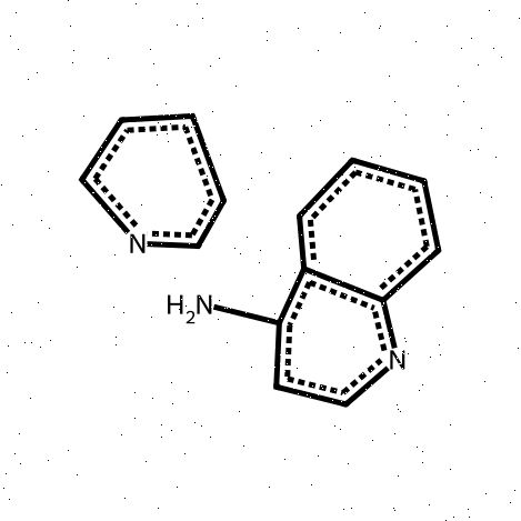 Nc1ccnc2ccccc12.c1ccncc1